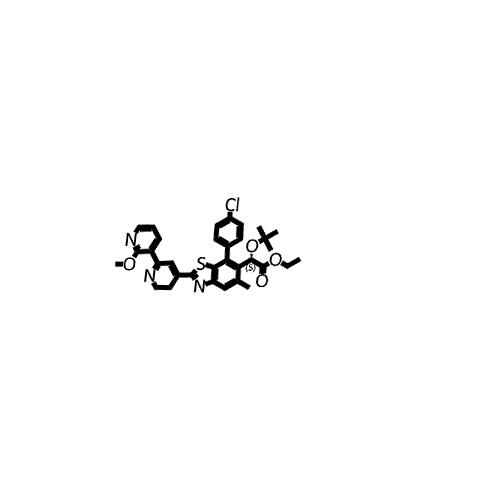 CCOC(=O)[C@@H](OC(C)(C)C)c1c(C)cc2nc(C3=CC(c4cccnc4OC)=NCC3)sc2c1-c1ccc(Cl)cc1